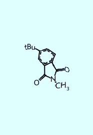 CN1C(=O)c2ccc(C(C)(C)C)cc2C1=O